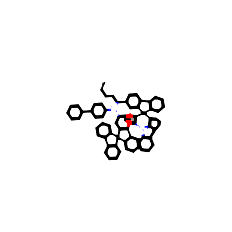 C=C/C=C\C=C(\c1ccc2c(c1)C1(c3ccccc3-2)c2ccccc2-n2c3ccccc3c3cccc1c32)N(c1ccc(-c2ccccc2)cc1)c1ccc2c(c1)C1(c3ccccc3-c3ccccc31)c1ccccc1-2